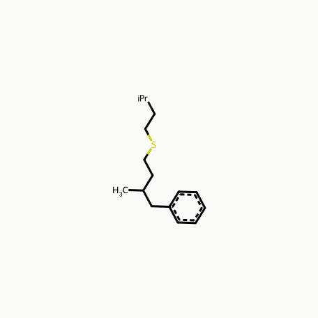 CC(C)CCSCCC(C)Cc1ccccc1